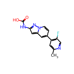 Cc1cc(-c2ccn3nc(NC(=O)O)cc3c2)c(F)cn1